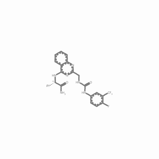 CC(C)[C@H](Nc1nc(CNC(=O)Nc2ccc(F)c(C(F)(F)F)c2)nc2ccccc12)C(N)=O